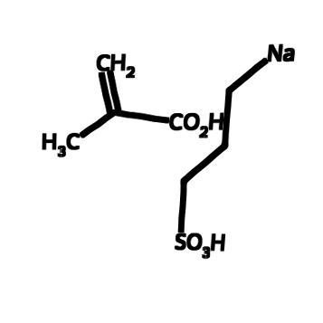 C=C(C)C(=O)O.O=S(=O)(O)CC[CH2][Na]